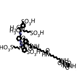 CC1(C)/C(=C\C=C2/CCCC(/C=C/C3N(CCCCS(=O)(=O)O)c4ccc(S(=O)(=O)O)cc4C3(C)C)=C2Oc2ccc(CCC(=O)NCCCCCCCC(=O)NCCCCCCCC(=O)Nc3nnc(S(N)(=O)=O)s3)cc2)N(CCCCS(=O)(=O)O)c2ccc(S(=O)(=O)O)cc21